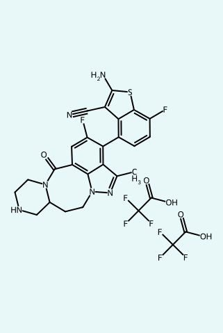 Cc1nn2c3c(cc(F)c(-c4ccc(F)c5sc(N)c(C#N)c45)c13)C(=O)N1CCNCC1CC2.O=C(O)C(F)(F)F.O=C(O)C(F)(F)F